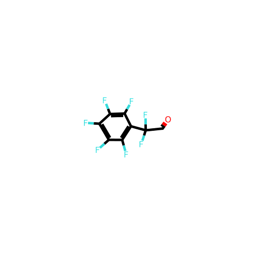 O=CC(F)(F)c1c(F)c(F)c(F)c(F)c1F